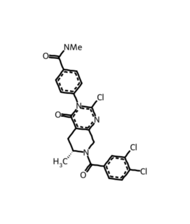 CNC(=O)c1ccc(-n2c(Cl)nc3c(c2=O)C[C@@H](C)N(C(=O)c2ccc(Cl)c(Cl)c2)C3)cc1